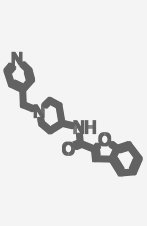 O=C(NC1CCN(Cc2ccncc2)CC1)c1cc2ccccc2o1